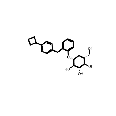 OC[C@H]1C[C@@H](Oc2ccccc2Cc2ccc(C3CCC3)cc2)[C@H](O)[C@@H](O)[C@@H]1O